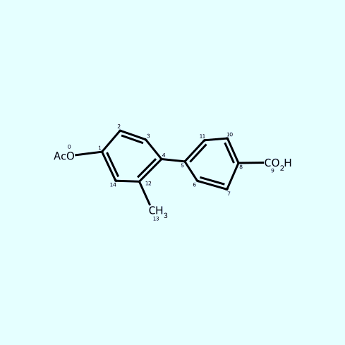 CC(=O)Oc1ccc(-c2ccc(C(=O)O)cc2)c(C)c1